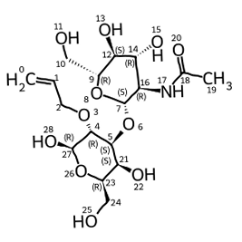 C=CCO[C@@H]1[C@@H](O[C@@H]2O[C@H](CO)[C@@H](O)[C@H](O)[C@H]2NC(C)=O)[C@@H](O)[C@@H](CO)O[C@H]1O